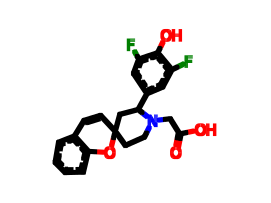 O=C(O)CN1CCC2(C=Cc3ccccc3O2)CC1c1cc(F)c(O)c(F)c1